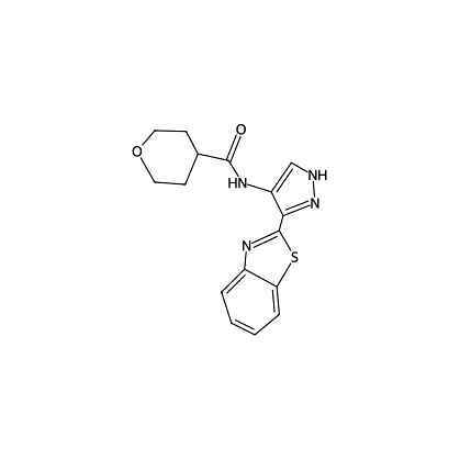 O=C(Nc1c[nH]nc1-c1nc2ccccc2s1)C1CCOCC1